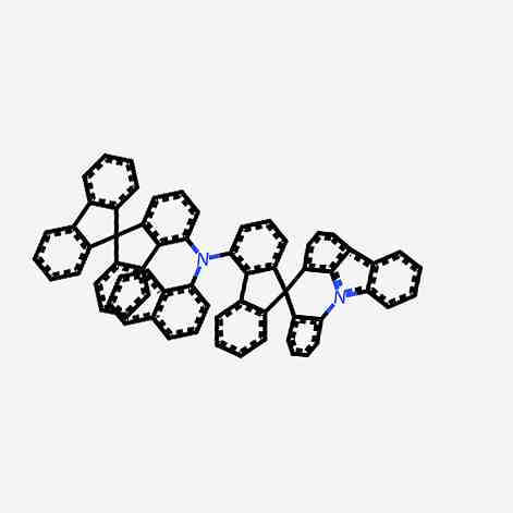 c1ccc2c(c1)-c1ccccc1C21c2ccccc2-c2c(N(c3cccc4c3-c3ccccc3C43c4ccccc4-n4c5ccccc5c5cccc3c54)c3cccc4ccccc34)cccc21